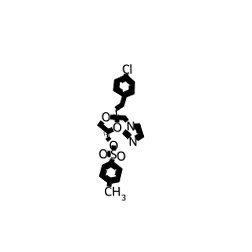 Cc1ccc(S(=O)(=O)OC[C@@H]2CO[C@@](CCc3ccc(Cl)cc3)(Cn3ccnc3)O2)cc1